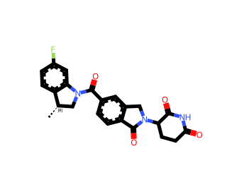 C[C@H]1CN(C(=O)c2ccc3c(c2)CN(C2CCC(=O)NC2=O)C3=O)c2cc(F)ccc21